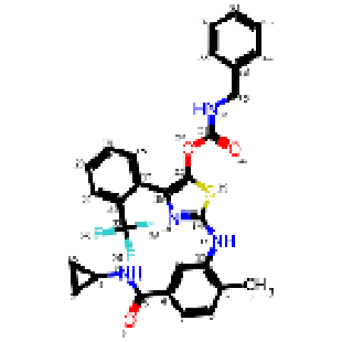 Cc1ccc(C(=O)NC2CC2)cc1Nc1nc(-c2ccccc2C(F)(F)F)c(OC(=O)NCc2ccccc2)s1